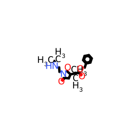 CC(C)NCCN1C(=O)CC(C(C)(C)C(=O)OCc2ccccc2)C1=O